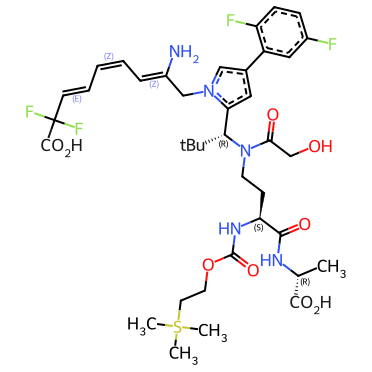 C[C@@H](NC(=O)[C@H](CCN(C(=O)CO)[C@@H](c1cc(-c2cc(F)ccc2F)cn1C/C(N)=C/C=C\C=C\C(F)(F)C(=O)O)C(C)(C)C)NC(=O)OCCS(C)(C)C)C(=O)O